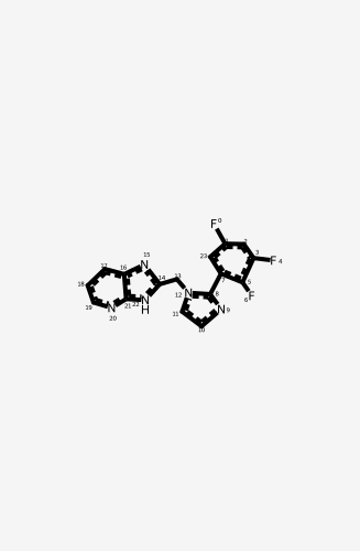 Fc1cc(F)c(F)c(-c2nccn2Cc2nc3cccnc3[nH]2)c1